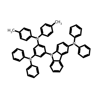 Cc1ccc(N(c2ccc(C)cc2)c2cc(N(c3ccccc3)c3ccccc3)cc(-n3c4ccccc4c4cc(N(c5ccccc5)c5ccccc5)ccc43)c2)cc1